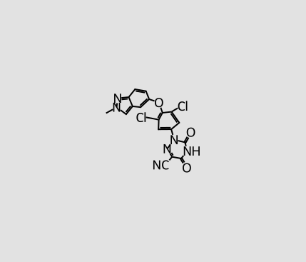 Cn1cc2cc(Oc3c(Cl)cc(-n4nc(C#N)c(=O)[nH]c4=O)cc3Cl)ccc2n1